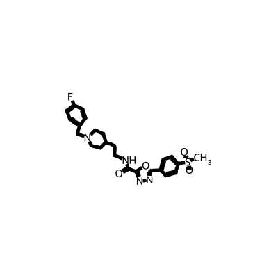 CS(=O)(=O)c1ccc(-c2nnc(C(=O)NCCC3CCN(Cc4ccc(F)cc4)CC3)o2)cc1